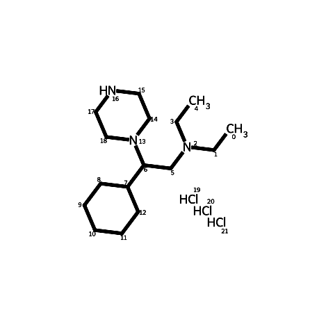 CCN(CC)CC(C1CCCCC1)N1CCNCC1.Cl.Cl.Cl